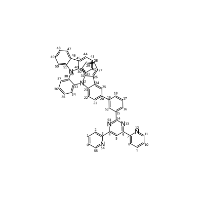 c1ccc(-c2cc(-c3ccccn3)nc(-c3cccc(-c4ccc5c(c4)c4ccccc4n5-c4ccccc4-n4c5ccccc5c5ccccc54)c3)n2)nc1